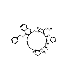 C[C@@]12CCC[C@H]1CCC=CCc1c(nc3ccccc3c1OCc1ccccc1)O[C@@H]1C[C@@H](C(=O)O)N(C1)C(=O)[C@H](C1CCCC1)NC(=O)O2